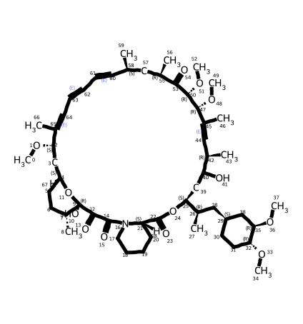 CO[C@H]1C[C@@H]2CC[C@@H](C)[C@@](O)(O2)C(=O)C(=O)N2CCCC[C@H]2C(=O)O[C@H]([C@H](C)C[C@@H]2CC[C@@H](OC)[C@H](OC)C2)CC(O)[C@H](C)/C=C(\C)[C@@H](OC)[C@@H](OC)C(=O)[C@H](C)C[C@H](C)/C=C/C=C/C=C/1C